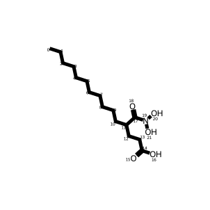 CCCCCCCCCCCC(CCC(=O)O)C(=O)N(O)O